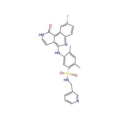 Cc1cc(C)c(S(=O)(=O)NCc2cccnc2)cc1Nc1nc2ccc(F)cc2c2c(=O)[nH]ccc12